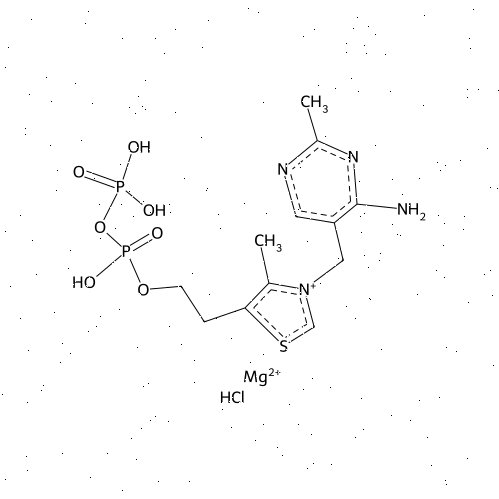 Cc1ncc(C[n+]2csc(CCOP(=O)(O)OP(=O)(O)O)c2C)c(N)n1.Cl.[Mg+2]